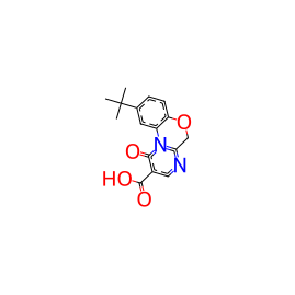 CC(C)(C)c1ccc2c(c1)-n1c(ncc(C(=O)O)c1=O)CO2